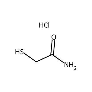 Cl.NC(=O)CS